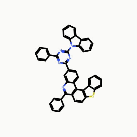 c1ccc(-c2nc(-c3ccc4c(c3)nc(-c3ccccc3)c3ccc5sc6ccccc6c5c34)nc(-n3c4ccccc4c4ccccc43)n2)cc1